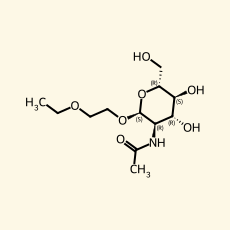 CCOCCO[C@H]1O[C@H](CO)[C@@H](O)[C@H](O)[C@H]1NC(C)=O